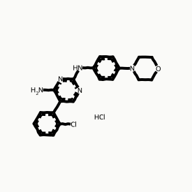 Cl.Nc1nc(Nc2ccc(N3CCOCC3)cc2)ncc1-c1ccccc1Cl